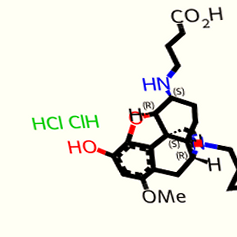 COc1cc(O)c2c3c1C[C@@H]1[C@@H]4CC[C@H](NCCCC(=O)O)[C@H](O2)[C@]34CCN1CC1CC1.Cl.Cl